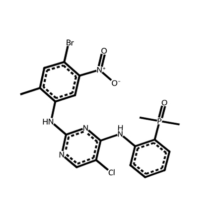 Cc1cc(Br)c([N+](=O)[O-])cc1Nc1ncc(Cl)c(Nc2ccccc2P(C)(C)=O)n1